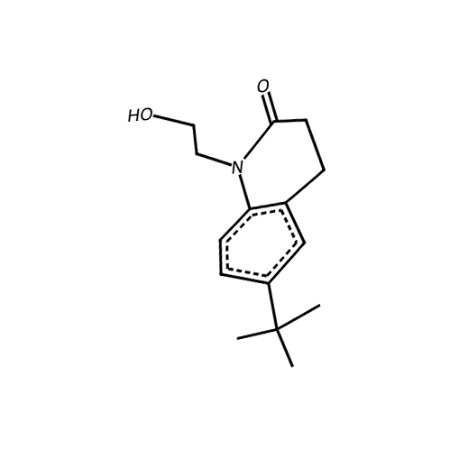 CC(C)(C)c1ccc2c(c1)CCC(=O)N2CCO